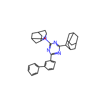 c1ccc(-c2cccc(-c3nc(C4C5CC6CC(C5)CC4C6)nc(N4C5CC6CC(C5)CC4C6)n3)c2)cc1